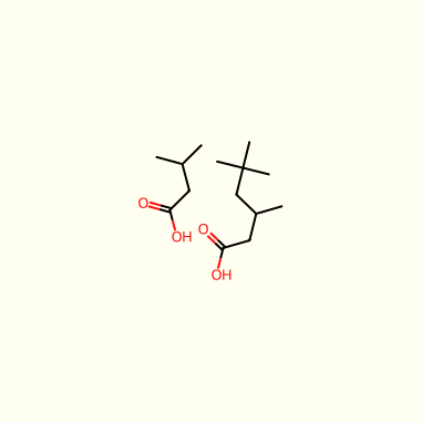 CC(C)CC(=O)O.CC(CC(=O)O)CC(C)(C)C